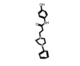 O=C(CCN1CCN(c2ccccc2)CC1)Nc1ccc(O)cc1